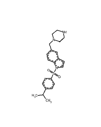 CC(C)c1ccc(S(=O)(=O)n2ccc3cc(CN4CCNCC4)ccc32)cc1